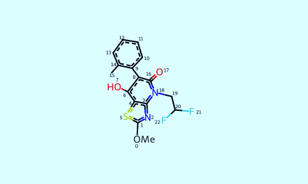 COc1nc2c(s1)c(O)c(-c1ccccc1C)c(=O)n2CC(F)F